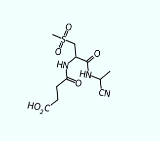 CC(C#N)NC(=O)C(CS(C)(=O)=O)NC(=O)CCC(=O)O